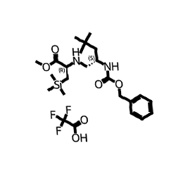 COC(=O)[C@H](C[Si](C)(C)C)NC[C@H](CC(C)(C)C)NC(=O)OCc1ccccc1.O=C(O)C(F)(F)F